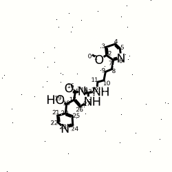 COc1cccnc1CCCCNc1nc(=O)c(C(O)c2ccncc2)c[nH]1